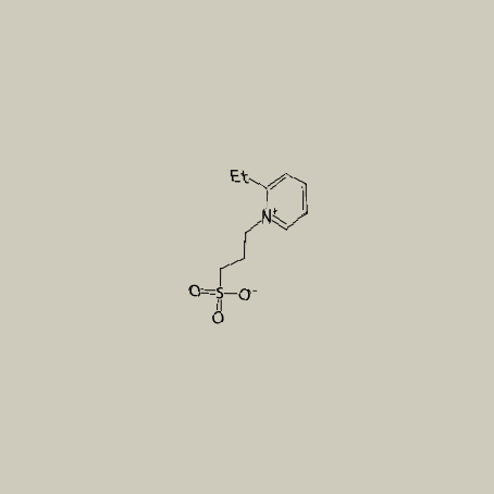 CCc1cccc[n+]1CCCS(=O)(=O)[O-]